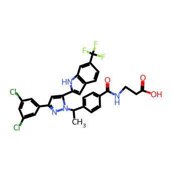 CC(c1ccc(C(=O)NCCC(=O)O)cc1)n1nc(-c2cc(Cl)cc(Cl)c2)cc1-c1cc2ccc(C(F)(F)F)cc2[nH]1